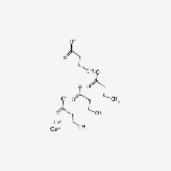 CCCC(=O)[O-].CCCC(=O)[O-].CCCC(=O)[O-].CCCC(=O)[O-].[Ca+2].[Ca+2]